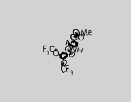 COC(=O)Oc1ccc(NS(=O)(=O)c2cc(OCC(F)(F)F)cc(OCC(F)(F)F)c2)cn1